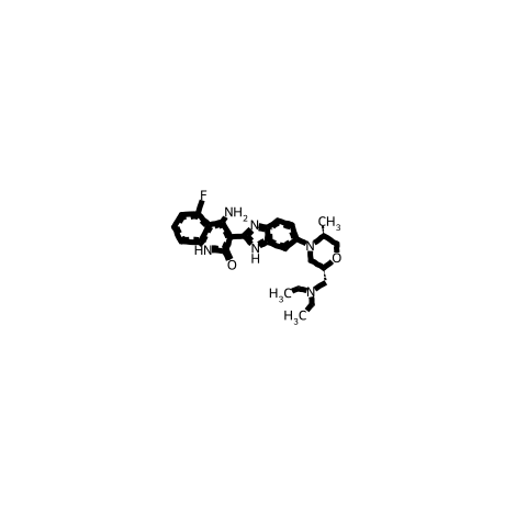 CCN(CC)C[C@@H]1CN(c2ccc3nc(-c4c(N)c5c(F)cccc5[nH]c4=O)[nH]c3c2)[C@H](C)CO1